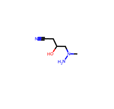 CN(N)CC(O)CC#N